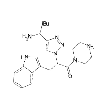 CCC(C)C(N)c1cn([C@@H](Cc2c[nH]c3ccccc23)C(=O)N2CCNCC2)nn1